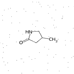 [CH2]C1CNC(=O)C1